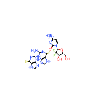 N.Nc1ccn([C@@H]2O[C@H](CO)[C@@H](O)C2(F)F)c(=O)n1.Nc1nc(=S)c2[nH]cnc2[nH]1.S=c1nc[nH]c2nc[nH]c12